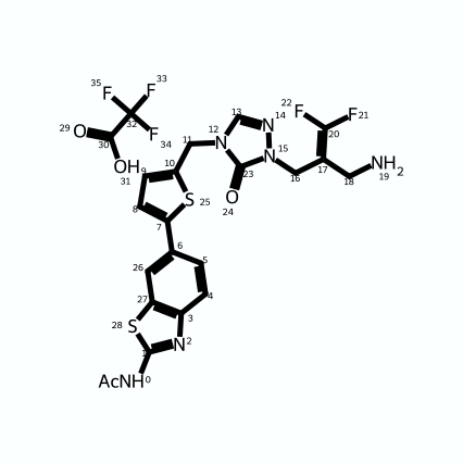 CC(=O)Nc1nc2ccc(-c3ccc(Cn4cnn(CC(CN)=C(F)F)c4=O)s3)cc2s1.O=C(O)C(F)(F)F